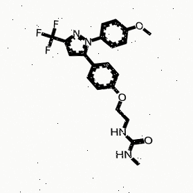 CNC(=O)NCCOc1ccc(-c2cc(C(F)(F)F)nn2-c2ccc(OC)cc2)cc1